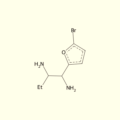 CCC(N)C(N)c1ccc(Br)o1